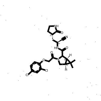 CC1(C)[C@@H]2C(C(=O)N[C@H](C#N)C[C@@H]3CCNC3=O)N(C(=O)COc3ccc(Cl)cc3Cl)C[C@@H]21